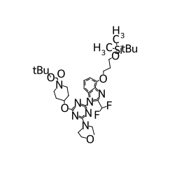 CC(C)(C)OC(=O)N1CCC(Oc2nc(N3CCOCC3)nc(-n3c(C(F)F)nc4c(OCCCO[Si](C)(C)C(C)(C)C)cccc43)n2)CC1